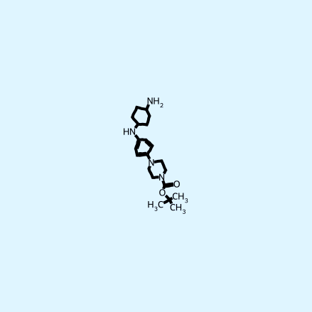 CC(C)(C)OC(=O)N1CCN(c2ccc(NC3CCC(N)CC3)cc2)CC1